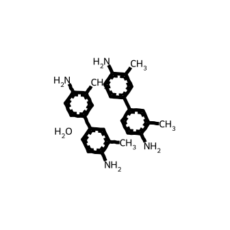 Cc1cc(-c2ccc(N)c(C)c2)ccc1N.Cc1cc(-c2ccc(N)c(C)c2)ccc1N.O